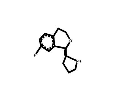 Fc1ccc2c(c1)/C(=C1\CCCN1)OCC2